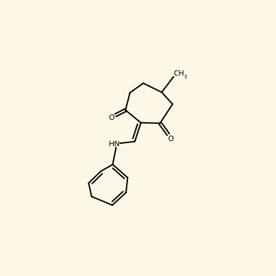 CC1CCC(=O)/C(=C\NC2=CC=CCC=C2)C(=O)C1